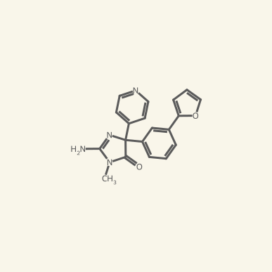 CN1C(=O)C(c2ccncc2)(c2cccc(-c3ccco3)c2)N=C1N